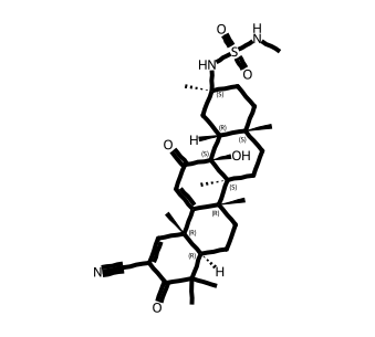 CNS(=O)(=O)N[C@@]1(C)CC[C@]2(C)CC[C@@]3(C)[C@]4(C)CC[C@H]5C(C)(C)C(=O)C(C#N)=C[C@]5(C)C4=CC(=O)[C@]3(O)[C@@H]2C1